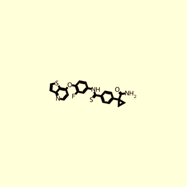 NC(=O)C1(c2ccc(C(=S)Nc3ccc(Oc4ccnc5ccsc45)c(F)c3)cc2)CC1